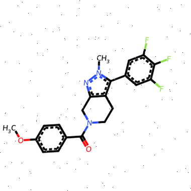 COc1ccc(C(=O)N2CCc3c(nn(C)c3-c3cc(F)c(F)c(F)c3)C2)cc1